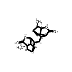 C[C@@H]1C2CC3C(C(=O)OC31)C2CC1C2CC3C1OC(=O)[C@]3(C)C2